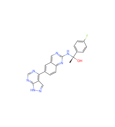 C[C@@](O)(Nc1ncc2cc(-c3ncnc4[nH]ncc34)ccc2n1)c1ccc(F)cc1